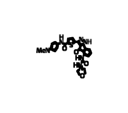 CNc1ccc(NC(=O)c2ccc(-c3n[nH]c4c3C(=O)c3c(NC(=O)NN5CCOCC5)cccc3-4)s2)cc1